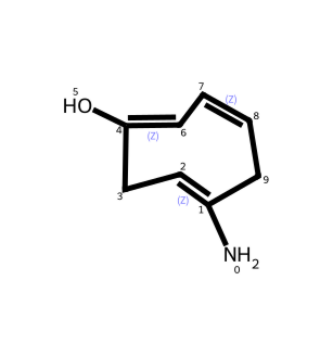 N/C1=C\C/C(O)=C/C=C\C1